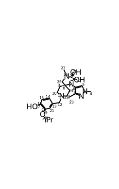 Cc1nn(C)cc1N1[C@@]2(CCN(Cc3ccc(O)c(OC(C)C)c3)[C@@H](C)C2)CN(C)S1(O)O